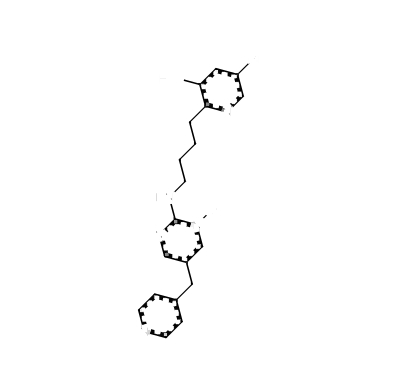 Cc1cc(Br)cnc1CCCCNc1ncc(Cc2ccncc2)c[n+]1[O-]